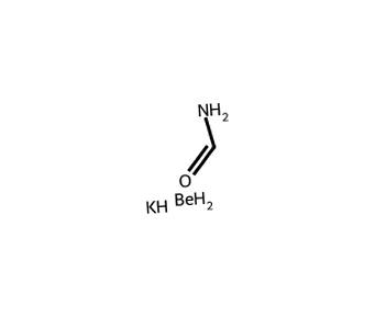 NC=O.[BeH2].[KH]